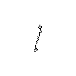 C(CSCC1CO1)SCCSC1CSC1